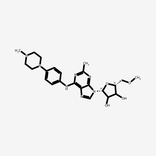 COC[C@H]1O[C@@H](n2cnc3c(Nc4ccc(N5CCN(C)CC5)cc4)nc(C)nc32)C(O)C1O